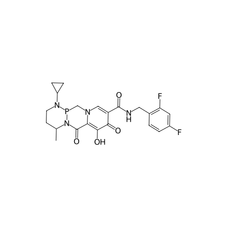 CC1CCN(C2CC2)P2Cn3cc(C(=O)NCc4ccc(F)cc4F)c(=O)c(O)c3C(=O)N12